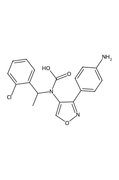 CC(c1ccccc1Cl)N(C(=O)O)c1conc1-c1ccc(N)cc1